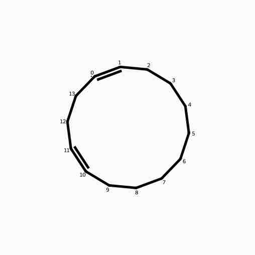 [C]1=CCCCCCCCCC=CCC1